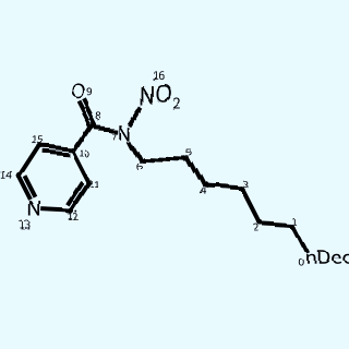 CCCCCCCCCCCCCCCCN(C(=O)c1c[c]ncc1)[N+](=O)[O-]